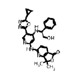 CC1(C)OC(=O)c2ccc(Nc3cc(N[C@H](CO)c4ccccc4)c(-c4nnc(C5CC5)o4)cn3)nc21